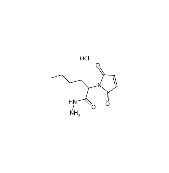 CCCCC(C(=O)NN)N1C(=O)C=CC1=O.Cl